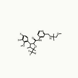 COCC(C)(C)NCc1cc(NC(=O)C2OC(C)(C(F)(F)F)C(C)C2c2ccc(F)c(F)c2OC)ccn1